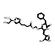 CC(C)(C)c1[nH]cnc1/C=c1\[nH]c(=O)/c(=C/c2ccccc2)nc1OCOC(=O)CCCc1cn(C(CO)C(=O)O)nn1